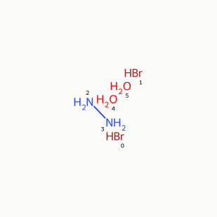 Br.Br.NN.O.O